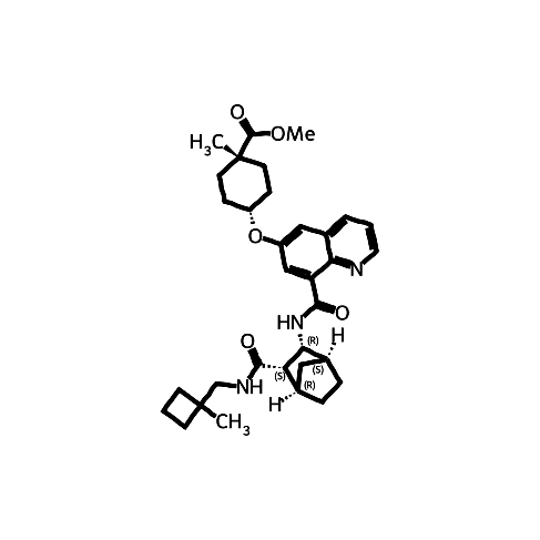 COC(=O)[C@]1(C)CC[C@H](Oc2cc(C(=O)N[C@@H]3[C@H]4CC[C@H](C4)[C@@H]3C(=O)NCC3(C)CCC3)c3ncccc3c2)CC1